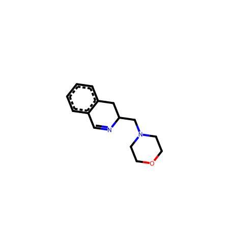 C1=NC(CN2CCOCC2)Cc2ccccc21